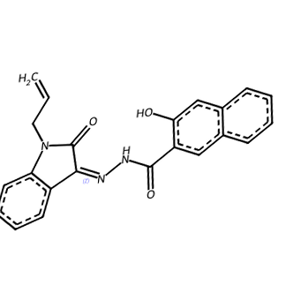 C=CCN1C(=O)/C(=N\NC(=O)c2cc3ccccc3cc2O)c2ccccc21